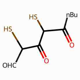 CCCCC(=O)C(S)C(=O)C(S)C=O